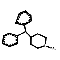 CC(=O)ON1CCC(C(c2ccccc2)c2ccccc2)CC1